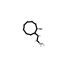 C[C@@H]1CCCCCCCC1CCN